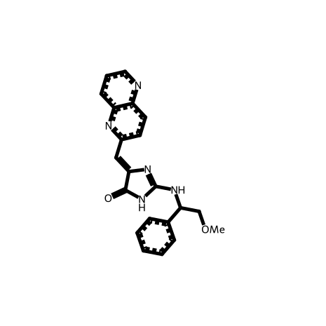 COCC(NC1=N/C(=C\c2ccc3ncccc3n2)C(=O)N1)c1ccccc1